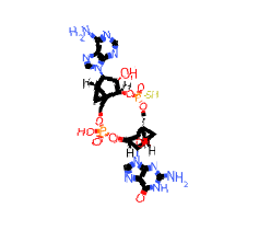 Nc1nc2c(ncn2[C@H]2[C@@H]3OP(=O)(O)OCC45C[C@@H]4[C@@H](n4cnc6c(N)ncnc64)[C@H](O)[C@@H]5O[P@](=O)(S)OC[C@@]4(C[C@H]24)[C@H]3O)c(=O)[nH]1